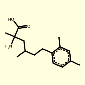 Cc1ccc(CCC(C)CC(C)(N)C(=O)O)c(C)c1